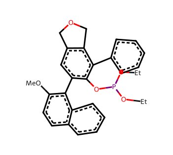 CCOP(OCC)Oc1c(-c2c(OC)ccc3ccccc23)cc2c(c1-c1ccccc1)COC2